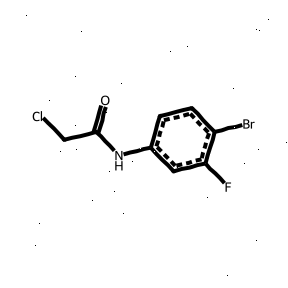 O=C(CCl)Nc1ccc(Br)c(F)c1